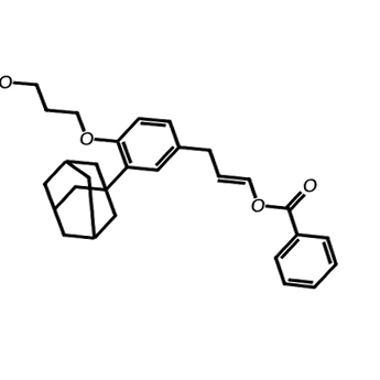 O=C(OC=CCc1ccc(OCCCO)c(C23CC4CC(CC(C4)C2)C3)c1)c1ccccc1